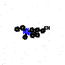 N#Cc1cccc(-c2ccc3c(c2)C(c2ccccc2)(c2ccccc2)c2cc(C4=NC(c5cccc(-c6ccccc6)c5)=NC(c5ccccc5)N4)ccc2-3)c1